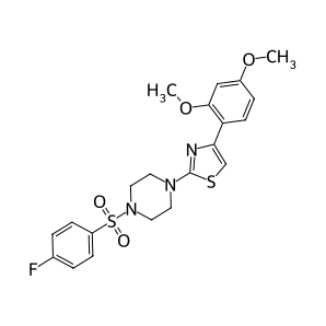 COc1ccc(-c2csc(N3CCN(S(=O)(=O)c4ccc(F)cc4)CC3)n2)c(OC)c1